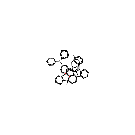 CC1CC2CC(C)C3(c4cc(N(c5ccccc5)c5ccccc5)ccc4-c4cccc(-c5ccccc5N(c5ccccc5)c5ccc6c(c5)C(C)(C)c5ccccc5-6)c43)C(C1)C2